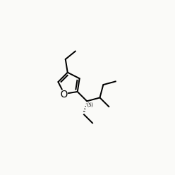 CCc1coc([C@@H](CC)C(C)CC)c1